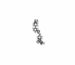 CCN1CC=C(c2cccc(OCCC3CCN(C(=O)OC(C)C)CC3)c2)CC1